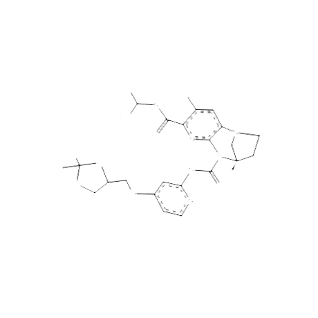 CC(NC(=O)c1nc2c(cc1F)N1CC[C@@H](C1)N2C(=O)Nc1cc(OCC2COC(C)(C)O2)ccn1)C(F)(F)F